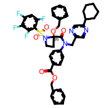 O=C(OCc1ccccc1)c1ccc(N(Cc2cnc(C3CCCCC3)cn2)C(=O)[C@]2(OCc3ccccc3)CCN2S(=O)(=O)c2c(F)cc(F)c(F)c2F)cc1